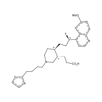 COc1ccc2nccc([C@H](F)CC[C@@H]3CCN(CCCCc4nccs4)C[C@H]3CCC(=O)O)c2c1